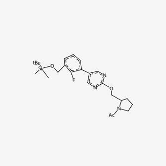 CC(=O)N1CCCC1COc1ncc(-c2cccc(CO[Si](C)(C)C(C)(C)C)c2F)cn1